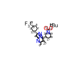 Cc1nc2cc([C@H]3CC[C@H](C(F)(F)F)CC3)nn2c([C@H]2CCCN(C(=O)OC(C)(C)C)C2)c1C